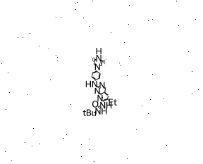 CCc1cc2cnc(Nc3ccc(N4C[C@@H](C)N[C@@H](C)C4)cc3)nc2nc1NC(=O)NC(C)(C)C